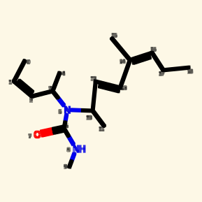 C/C=C\C(C)N(C(=O)NC)C(C)/C=C/C(C)=C\CC